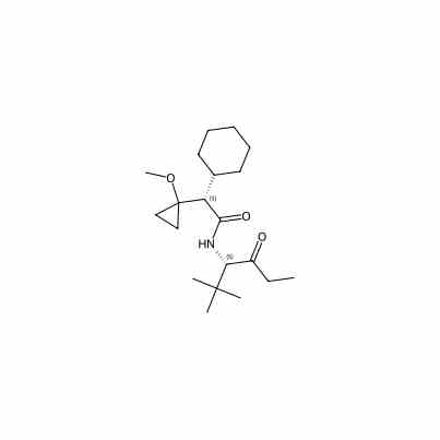 CCC(=O)[C@@H](NC(=O)[C@@H](C1CCCCC1)C1(OC)CC1)C(C)(C)C